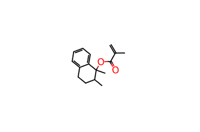 C=C(C)C(=O)OC1(C)c2ccccc2CCC1C